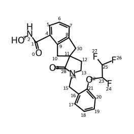 O=C(NO)c1cccc2c1CC1(CCN(Cc3ccccc3OC(F)C(F)F)C1=O)C2